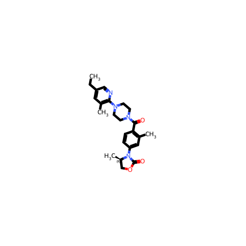 CCc1cnc(N2CCN(C(=O)c3ccc(N4C(=O)OC[C@H]4C)cc3C)CC2)c(C)c1